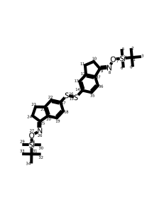 CC(C)(C)[Si](C)(C)O/N=C1\CCc2cc(SSc3ccc4c(c3)CC/C4=N\O[Si](C)(C)C(C)(C)C)ccc21